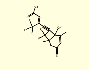 CC1=CC(=O)CC(C)(C(F)(F)F)C1(O)C#CC(=CC(=O)O)C(F)(F)F